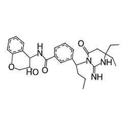 CCCC(c1cccc(C(=O)NC2c3ccccc3OCC2O)c1)N1C(=N)NC(CC)(CC)CC1=O